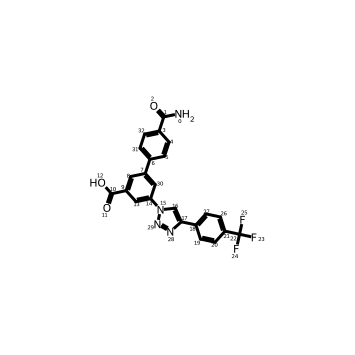 NC(=O)c1ccc(-c2cc(C(=O)O)cc(-n3cc(-c4ccc(C(F)(F)F)cc4)nn3)c2)cc1